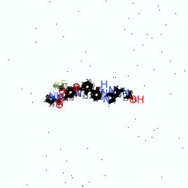 Cc1c(Nc2nccc3cc(CN4CC(O)C4)cnc23)cccc1-c1cccc(-c2nc3cc(COC(=O)[C@@H]4CCCN4)c(OC(F)F)cc3o2)c1C